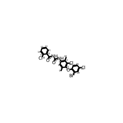 Cc1cc(NC(=O)NC(=O)c2ccccc2Cl)c(C)c(Cl)c1Oc1ccc(Cl)cc1Br